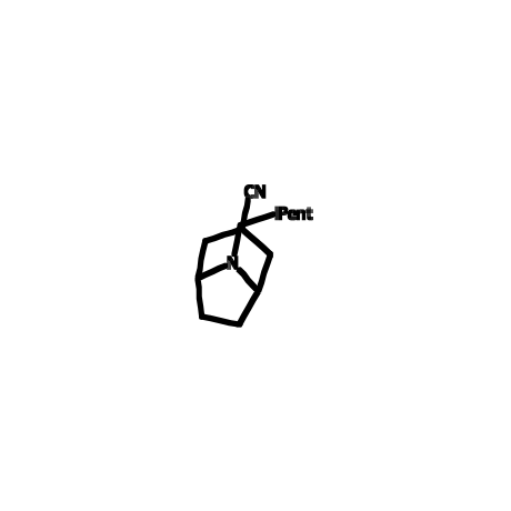 CCCC(C)CN1C2CCC1CC(C#N)C2